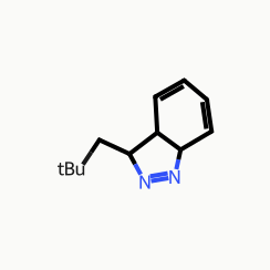 CC(C)(C)CC1N=NC2C=CC=CC21